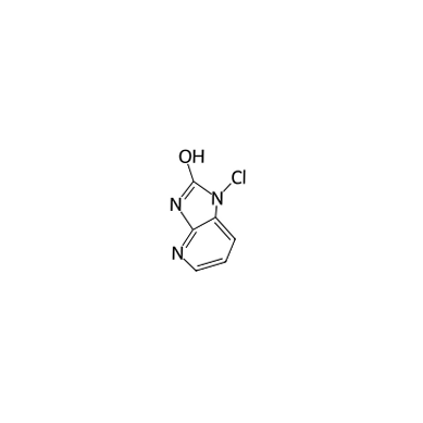 Oc1nc2ncccc2n1Cl